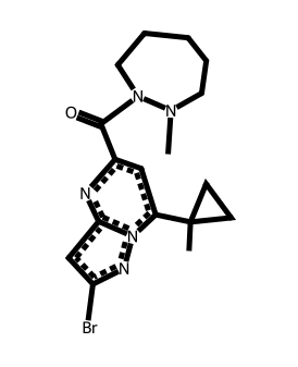 CN1CCCCCN1C(=O)c1cc(C2(C)CC2)n2nc(Br)cc2n1